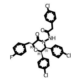 O=C(Cc1ccc(Cl)cc1)NN1C(=O)[C@@H](Cc2ccc(F)cc2)O[C@H](c2ccc(Cl)cc2)[C@@H]1c1ccc(Cl)cc1